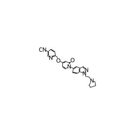 [C-]#[N+]c1ccc(COc2ccn(-c3ccc4c(cnn4CCN4CCCC4)c3)c(=O)c2)nc1